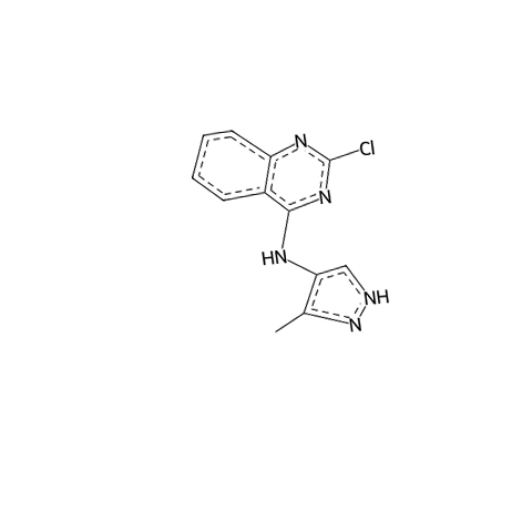 Cc1n[nH]cc1Nc1nc(Cl)nc2ccccc12